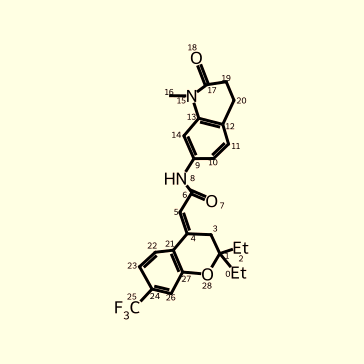 CCC1(CC)C/C(=C\C(=O)Nc2ccc3c(c2)N(C)C(=O)CC3)c2ccc(C(F)(F)F)cc2O1